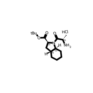 C[C@H](N)C(=O)N1[C@H](C(=O)OC(C)(C)C)C[C@H]2CCCC[C@@H]21.Cl